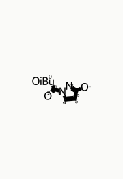 CC(C)COC(=O)n1ccc([O])n1